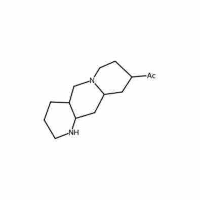 CC(=O)C1CCN2CC3CCCNC3CC2C1